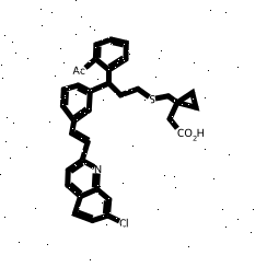 CC(=O)c1ccccc1C(CCSCC1(CC(=O)O)CC1)c1cccc(/C=C/c2ccc3ccc(Cl)cc3n2)c1